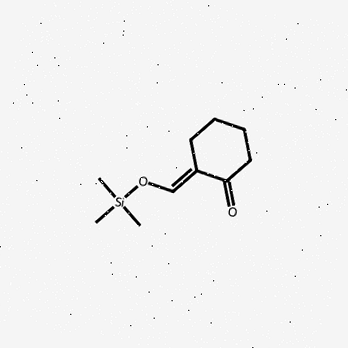 C[Si](C)(C)O/C=C1\CCCCC1=O